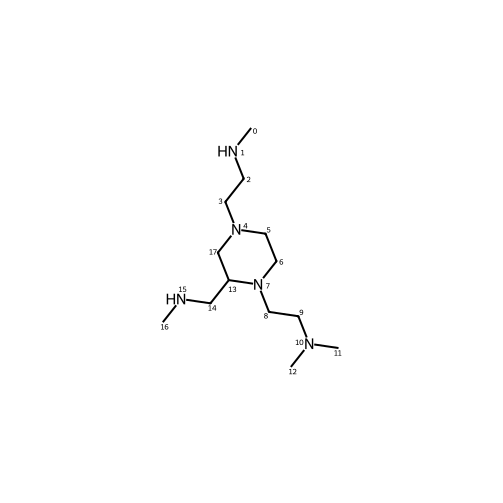 CNCCN1CCN(CCN(C)C)C(CNC)C1